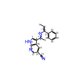 C/C=C(\N=C(/C)c1c[nH]c2ncc(C#N)cc12)c1ccccc1